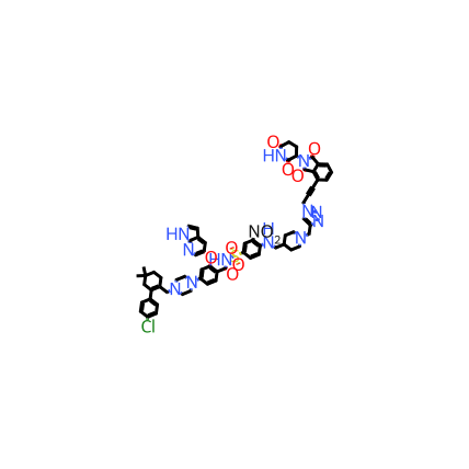 CC1(C)CCC(CN2CCN(c3ccc(C(=O)NS(=O)(=O)c4ccc(NCC5CCN(Cc6cn(CC#Cc7cccc8c7C(=O)N(C7CCC(=O)NC7=O)C8=O)nn6)CC5)c([N+](=O)[O-])c4)c(Oc4cnc5[nH]ccc5c4)c3)CC2)=C(c2ccc(Cl)cc2)C1